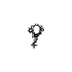 CC1(C)CCCCOc2cccc(n2)Nc2nn(COCC[Si](C)(C)C)c3c2CN(C3)C1=O